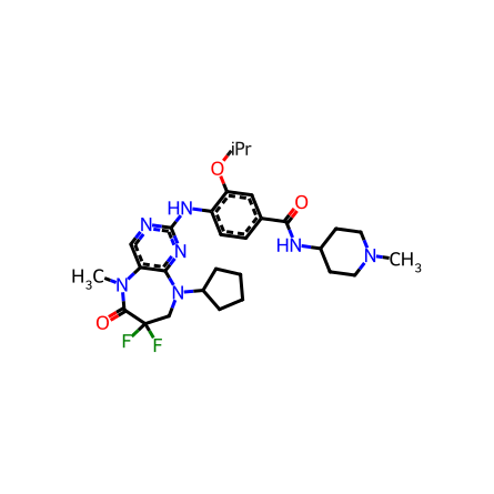 CC(C)Oc1cc(C(=O)NC2CCN(C)CC2)ccc1Nc1ncc2c(n1)N(C1CCCC1)CC(F)(F)C(=O)N2C